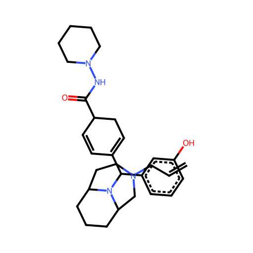 C=CCN1CCC2CCCC(C1)N2C(C1=CCC(C(=O)NN2CCCCC2)C=C1)c1cccc(O)c1